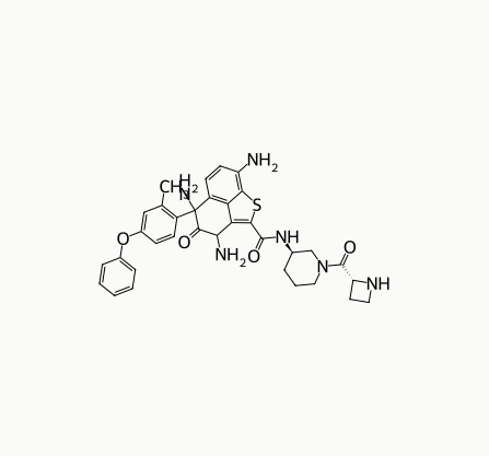 Cc1cc(Oc2ccccc2)ccc1C1(N)C(=O)C(N)c2c(C(=O)N[C@@H]3CCCN(C(=O)[C@H]4CCN4)C3)sc3c(N)ccc1c23